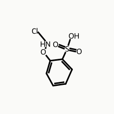 O=S(=O)(O)c1ccccc1ONCl